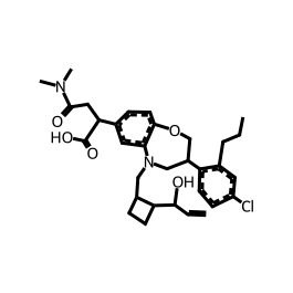 C=CC(O)C1CCC1CN1CC(c2ccc(Cl)cc2CCC)COc2ccc(C(CC(=O)N(C)C)C(=O)O)cc21